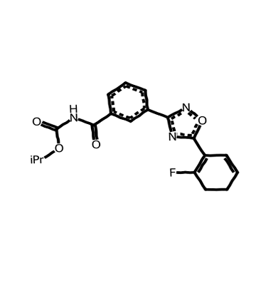 CC(C)OC(=O)NC(=O)c1cccc(-c2noc(C3=C(F)CCC=C3)n2)c1